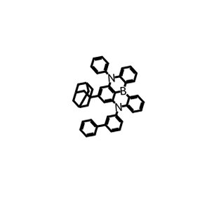 c1ccc(-c2cccc(N3c4ccccc4B4c5ccccc5N(c5ccccc5)c5cc(C67CC8CC(CC(C8)C6)C7)cc3c54)c2)cc1